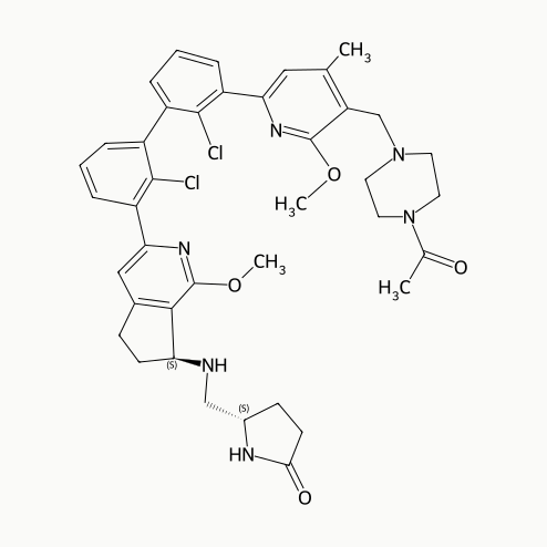 COc1nc(-c2cccc(-c3cccc(-c4cc5c(c(OC)n4)[C@@H](NC[C@@H]4CCC(=O)N4)CC5)c3Cl)c2Cl)cc(C)c1CN1CCN(C(C)=O)CC1